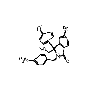 O=C1c2ccc(Br)cc2C(CO)(c2ccc(Cl)cc2)N1Cc1ccc([N+](=O)[O-])cc1